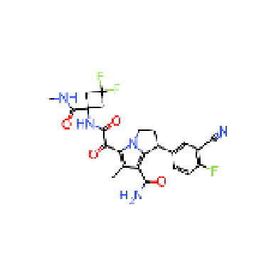 CNC(=O)C1(NC(=O)C(=O)c2c(C)c(C(N)=O)c3n2CCC3c2ccc(F)c(C#N)c2)CC(F)(F)C1